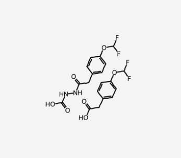 O=C(O)Cc1ccc(OC(F)F)cc1.O=C(O)NNC(=O)Cc1ccc(OC(F)F)cc1